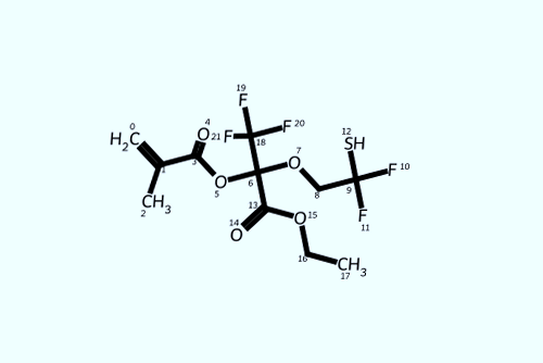 C=C(C)C(=O)OC(OCC(F)(F)S)(C(=O)OCC)C(F)(F)F